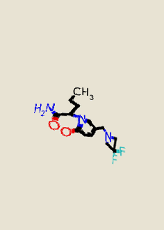 CCCC(C(N)=O)n1cc(CN2CC(F)(F)C2)ccc1=O